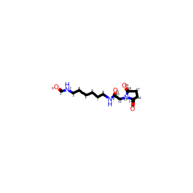 O=CNCCCCCCNC(=O)CN1C(=O)CCC1=O